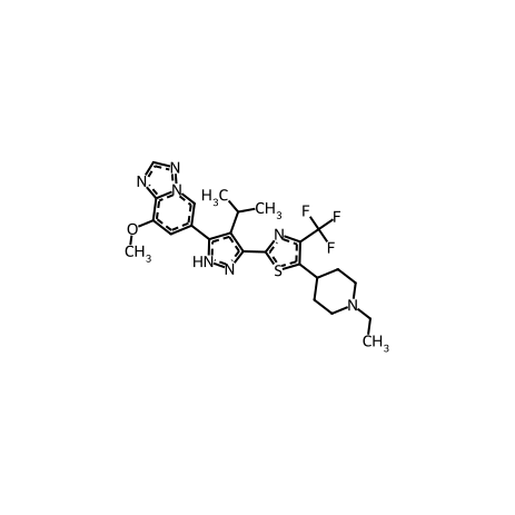 CCN1CCC(c2sc(-c3n[nH]c(-c4cc(OC)c5ncnn5c4)c3C(C)C)nc2C(F)(F)F)CC1